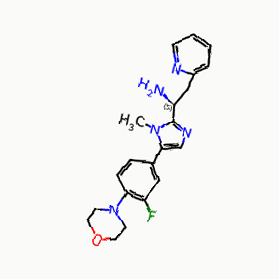 Cn1c(-c2ccc(N3CCOCC3)c(F)c2)cnc1[C@@H](N)Cc1ccccn1